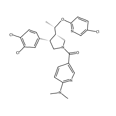 C[C@H](Oc1ccc(Cl)cn1)[C@@H]1CN(C(=O)c2ccc(N(C)C)nc2)C[C@@H]1c1ccc(Cl)c(Cl)c1